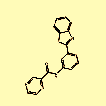 O=C(Nc1cccc(-c2nc3ccccc3s2)c1)c1cnccn1